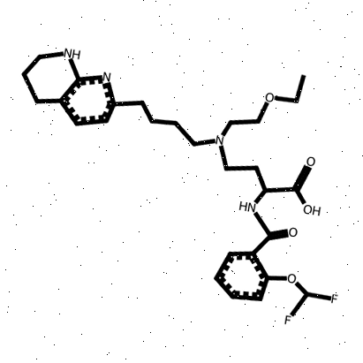 CCOCCN(CCCCc1ccc2c(n1)NCCC2)CCC(NC(=O)c1ccccc1OC(F)F)C(=O)O